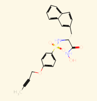 CC#CCOc1ccc(S(=O)(=O)N[C@H](Cc2ccc3ccccc3c2)C(=O)NO)cc1